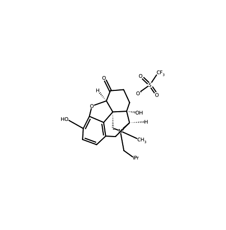 CC(C)C[N+]1(C)CC[C@]23c4c5ccc(O)c4O[C@H]2C(=O)CC[C@@]3(O)[C@H]1C5.O=S(=O)([O-])C(F)(F)F